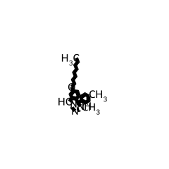 CCCCCCCCOc1ccc(C2(c3ccc(C)cc3C)N=CN=CN2)c(O)c1